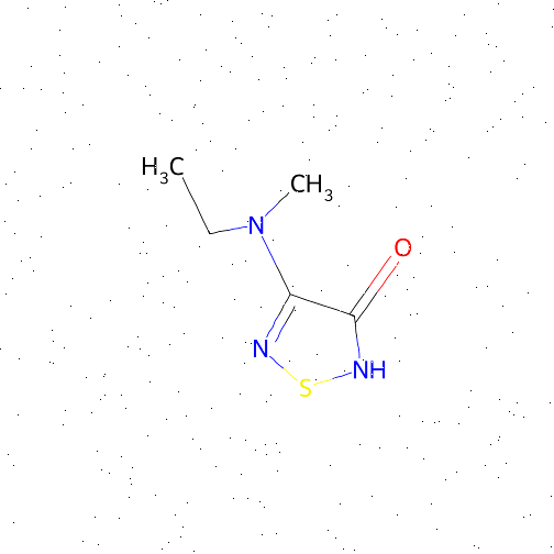 CCN(C)c1ns[nH]c1=O